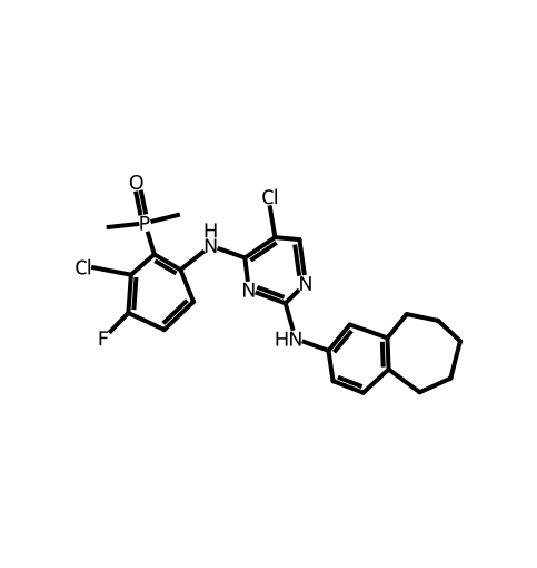 CP(C)(=O)c1c(Nc2nc(Nc3ccc4c(c3)CCCCC4)ncc2Cl)ccc(F)c1Cl